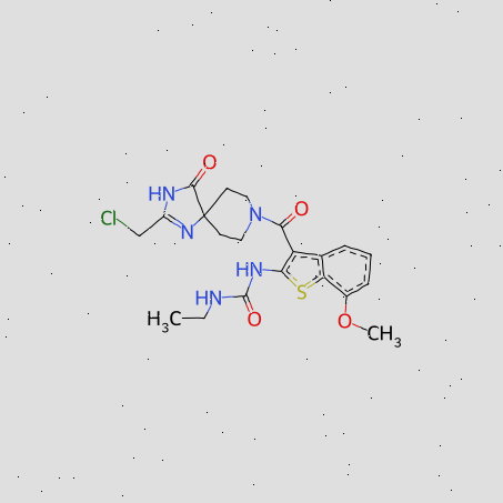 CCNC(=O)Nc1sc2c(OC)cccc2c1C(=O)N1CCC2(CC1)N=C(CCl)NC2=O